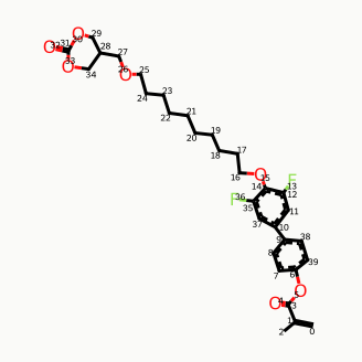 C=C(C)C(=O)Oc1ccc(-c2cc(F)c(OCCCCCCCCCCOCC3COC(=O)OC3)c(F)c2)cc1